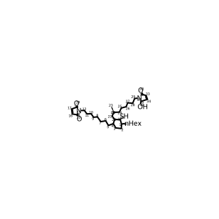 CCCCCCC1CCC(CCCCCCCCN2C(=O)C=CC2=O)C(C[C@@H](C)CCCCCCN2C(=O)C=CC2O)C1S